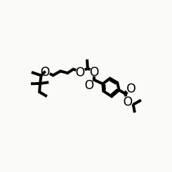 CCC(C)(C)C(C)OCCCCOC(C)OC(=O)c1ccc(C(=O)OC(C)C)cc1